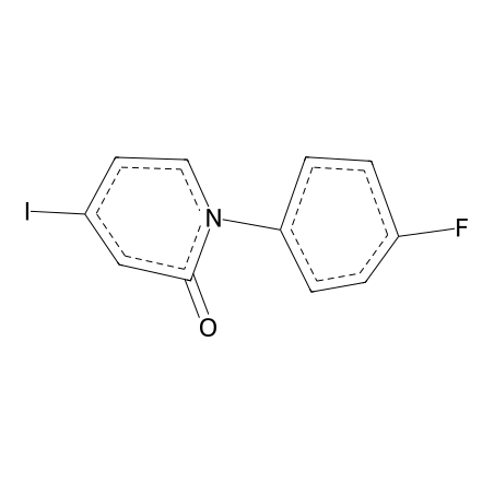 O=c1cc(I)ccn1-c1ccc(F)cc1